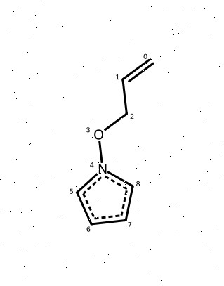 C=CCOn1cccc1